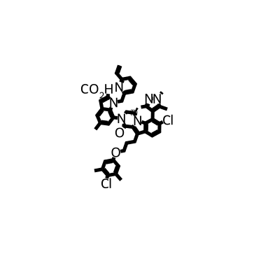 C=Cc1cccc(Cn2c(C(=O)O)cc3cc(C)cc(N4C[C@@H](C)n5c(c(CCCOc6cc(C)c(Cl)c(C)c6)c6ccc(Cl)c(-c7c(C)nn(C)c7C)c65)C4=O)c32)n1